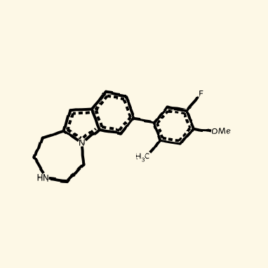 COc1cc(C)c(-c2ccc3cc4n(c3c2)CCNCC4)cc1F